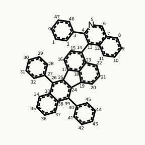 c1ccc(-c2ncc3ccccc3c2-c2ccc3c4c(cccc24)-c2c-3c(-c3ccccc3)c3ccccc3c2-c2ccccc2)cc1